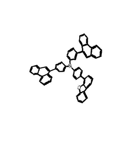 c1cc(-c2cc3ccccc3c3ccccc23)cc(N(c2ccc(-c3cc4ccccc4c4ccccc34)cc2)c2ccc(-c3cccc4c3oc3ccccc34)cc2)c1